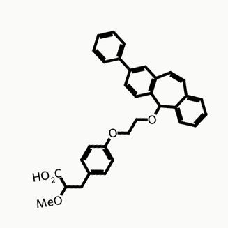 COC(Cc1ccc(OCCOC2c3ccccc3C=Cc3cc(-c4ccccc4)ccc32)cc1)C(=O)O